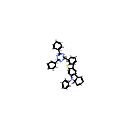 CC12C=CC=CC1c1cc3c(cc1N2c1ccccc1)sc1c(-c2nc(-c4ccccc4)nc(-c4ccccc4)n2)cccc13